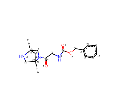 O=C(NCC(=O)N1C[C@@H]2C[C@H]1CN2)OCc1ccccc1